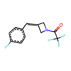 O=C(N1CC(=Cc2ccc(F)cc2)C1)C(F)(F)F